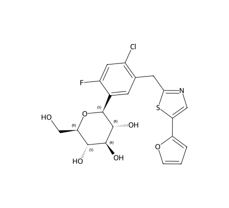 OC[C@H]1O[C@@H](c2cc(Cc3ncc(-c4ccco4)s3)c(Cl)cc2F)[C@H](O)[C@@H](O)[C@@H]1O